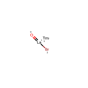 [O]=[La][Br].[Tm]